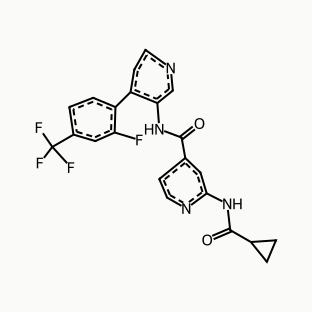 O=C(Nc1cnccc1-c1ccc(C(F)(F)F)cc1F)c1ccnc(NC(=O)C2CC2)c1